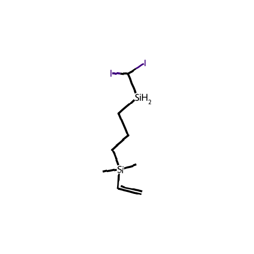 C=C[Si](C)(C)CCC[SiH2]C(I)I